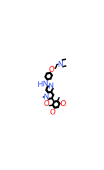 CCN(CC)CCOc1ccc(Nc2cc3c(cn2)cc(-c2c(C)c(OC)cc(OC)c2C)c(=O)n3C)cc1